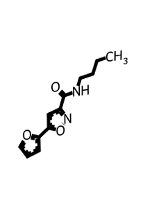 CCCCNC(=O)c1cc(-c2ccco2)on1